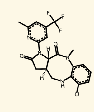 Cc1cc(C(F)(F)F)cc(N2C(=O)C[C@@H]3CNc4c(Cl)cccc4N(C)C(=O)[C@H]32)n1